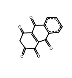 O=C1CC(=O)C2=C(C1=O)C(=O)c1ccccc1C2=O